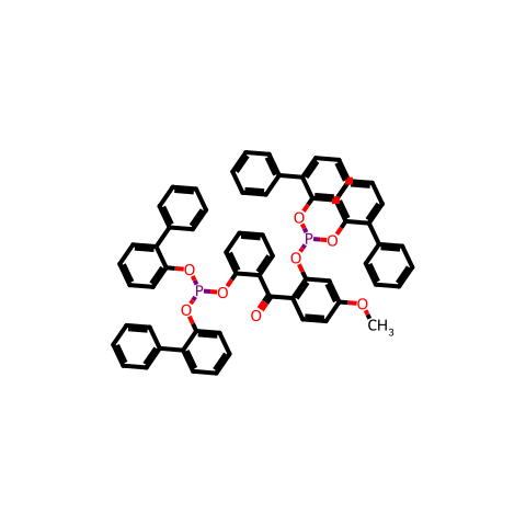 COc1ccc(C(=O)c2ccccc2OP(Oc2ccccc2-c2ccccc2)Oc2ccccc2-c2ccccc2)c(OP(Oc2ccccc2-c2ccccc2)Oc2ccccc2-c2ccccc2)c1